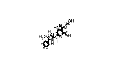 C[C@H](O)[C@@H](NC(=O)Nc1cc2[nH]nc(OCCO)c2c(CO)n1)c1ccccc1